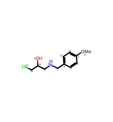 COc1ccc(CNCC(O)CCl)cc1